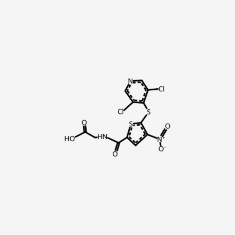 O=C(O)CNC(=O)c1cc([N+](=O)[O-])c(Sc2c(Cl)cncc2Cl)s1